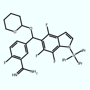 CC(C)[Si](C(C)C)(C(C)C)n1ccc2c(F)c(C(OC3CCCCO3)c3ccc(F)c(C(=N)N)c3)c(F)c(F)c21